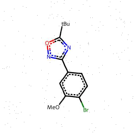 COc1cc(-c2noc(C(C)(C)C)n2)ccc1Br